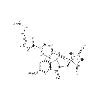 COc1ccc2c(c1)C(=O)N(C[C@@]1(C#Cc3ccc(-n4cnc(CCNC(C)=O)c4)cc3)NC(=O)NC1=O)C2